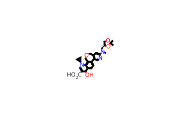 CN(C[C@H]1COC(C)(C)O1)c1cc2c(cn1)-c1ccc3c(c1COC2)N(C1CC1)C=C(C(=O)O)C3O